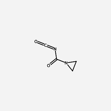 O=C=NC(=O)N1CC1